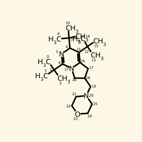 CC(C)(C)C1=NC(C(C)(C)C)C(C(C)(C)C)=C2CC(CN3CCOCC3)CN12